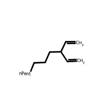 C=CC(C=C)CCCCCCCC